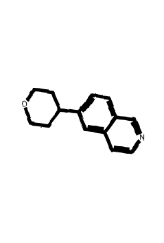 c1cc2cc(C3CCOCC3)ccc2cn1